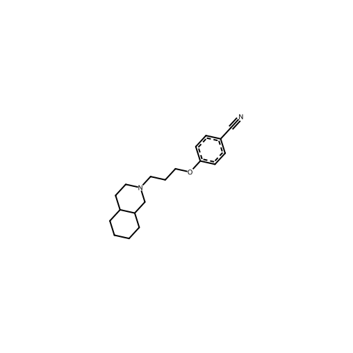 N#Cc1ccc(OCCCN2CCC3CCCCC3C2)cc1